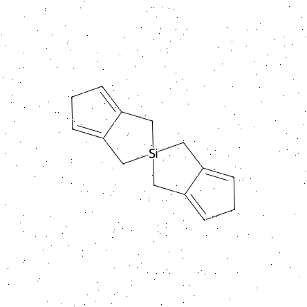 C1=C2C[Si]3(CC2=CC1)CC1=CCC=C1C3